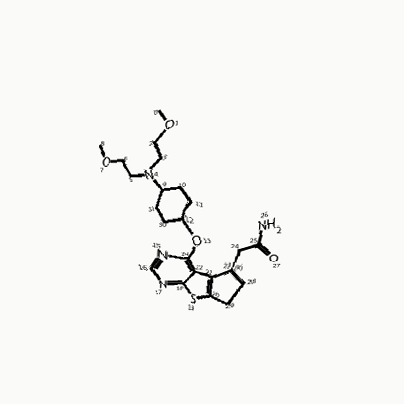 COCCN(CCOC)C1CCC(Oc2ncnc3sc4c(c23)[C@@H](CC(N)=O)CC4)CC1